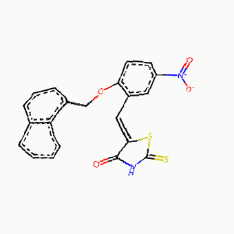 O=C1NC(=S)S/C1=C\c1cc([N+](=O)[O-])ccc1OCc1cccc2ccccc12